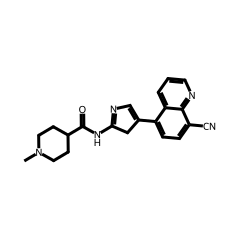 CN1CCC(C(=O)NC2=NC=C(c3ccc(C#N)c4ncccc34)C2)CC1